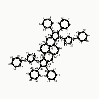 c1ccc(-c2c(-c3ccccc3)n(-c3cn(-c4ccccc4)cn3)c3c2cc2ccc4c5c(ccc3c25)cc2c(-c3ccccc3)c(-c3ccccc3)n(-c3cn(-c5ccccc5)cn3)c24)cc1